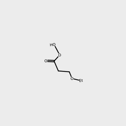 CCOCCC(=O)OO